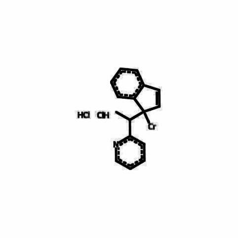 CC(c1ccccn1)[C]1([Cr])C=Cc2ccccc21.Cl.Cl